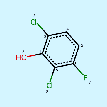 Oc1c(Cl)ccc(F)c1Cl